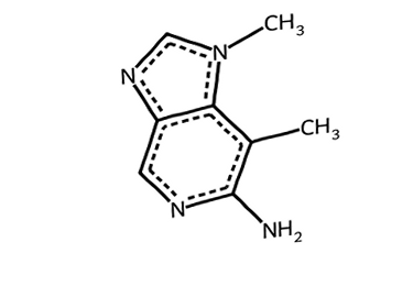 Cc1c(N)ncc2ncn(C)c12